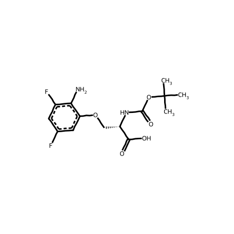 CC(C)(C)OC(=O)N[C@@H](COc1cc(F)cc(F)c1N)C(=O)O